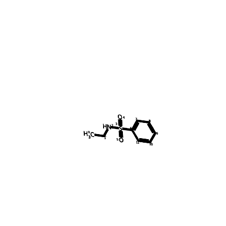 C[CH]NS(=O)(=O)c1ccccc1